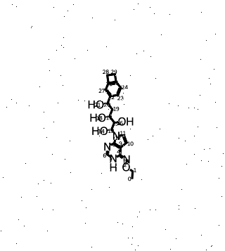 CCO/N=c1\[nH]cnc2c1ccn2[C@H](O)[C@H](O)[C@H](O)C[C@H](O)c1ccc2c(c1)CC2